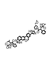 COC[C@H]1C[C@@H](c2ncc(-c3ccc4c(c3)COc3cc5c(ccc6nc([C@@H]7CC[C@H](C)N7C(=O)[C@@H](NC(=O)O)C(C)C)[nH]c65)cc3-4)[nH]2)N(C(=O)[C@@H](NC(=O)OC)c2ccccc2)C1